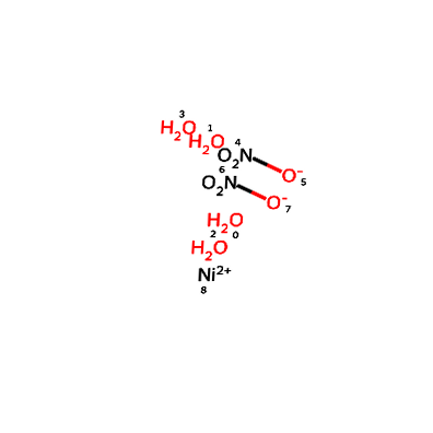 O.O.O.O.O=[N+]([O-])[O-].O=[N+]([O-])[O-].[Ni+2]